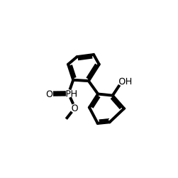 CO[PH](=O)c1ccccc1-c1ccccc1O